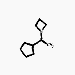 CC(C1CCCC1)N1CCC1